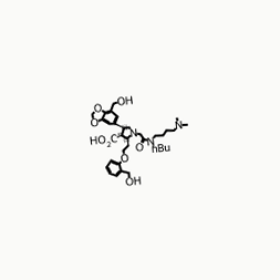 CCCCN(CCCCN(C)C)C(=O)CN1C[C@H](c2cc(CO)c3c(c2)OCO3)[C@@H](C(=O)O)[C@@H]1CCOc1ccccc1CO